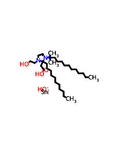 CCCCCCCCCCCC(C)(C)[N+]1=CCN(CCO)C1(CCCCCCCCCCC)CC(=O)O.[OH-].[Sn]